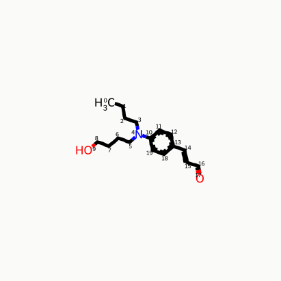 CCCCN(CCCCO)c1ccc(C=CC=O)cc1